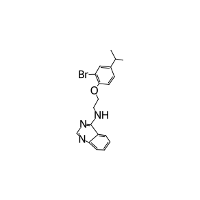 CC(C)c1ccc(OCCNc2ncnc3ccccc23)c(Br)c1